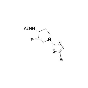 CC(=O)N[C@@H]1CCN(c2nnc(Br)s2)C[C@@H]1F